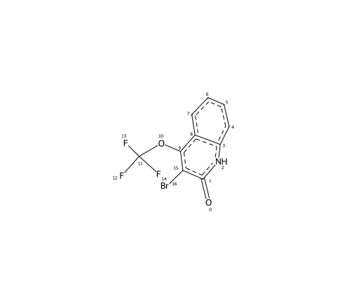 O=c1[nH]c2ccccc2c(OC(F)(F)F)c1Br